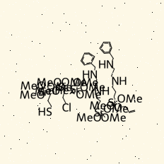 C=CCO[Si](CCCNCCNCc1ccccc1)(OC)OC.CCCCCC[Si](OC)(OC)OC.CO[Si](CCCCl)(OC)OC.CO[Si](CCCNCCNCc1ccccc1)(OC)OC.CO[Si](CCCS)(OC)OC